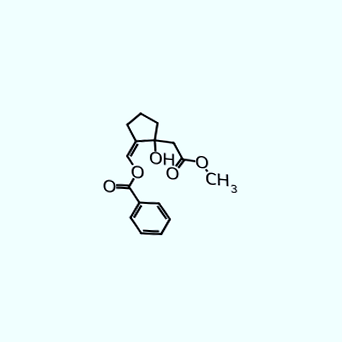 COC(=O)CC1(O)CCCC1=COC(=O)c1ccccc1